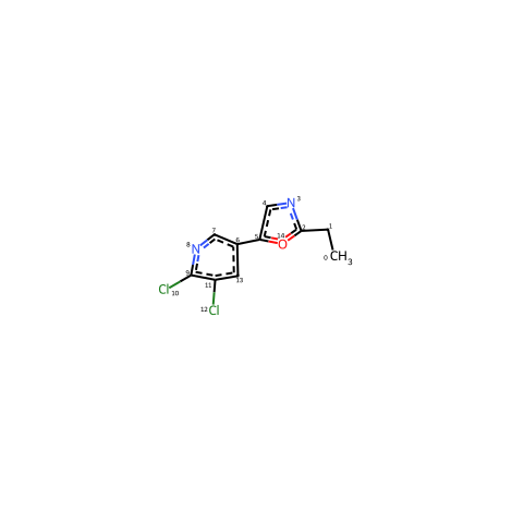 CCc1ncc(-c2cnc(Cl)c(Cl)c2)o1